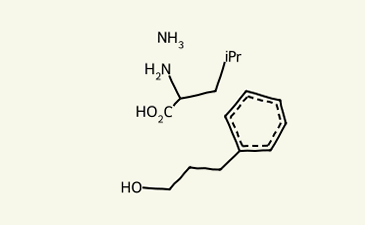 CC(C)CC(N)C(=O)O.N.OCCCc1ccccc1